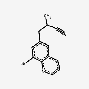 CC(C#N)Cc1cc(Br)c2ncccc2c1